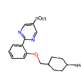 CCCCCCCCc1cnc(-c2ccccc2OCC2CCC(CCCCCCC)CC2)nc1